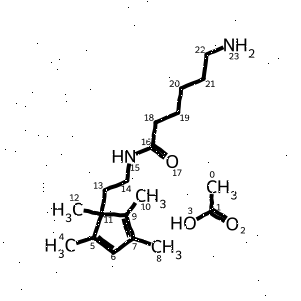 CC(=O)O.CC1=CC(C)=C(C)C1(C)CCNC(=O)CCCCCN